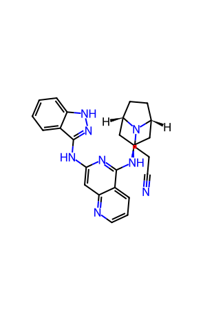 N#CCCN1[C@@H]2CC[C@H]1C[C@H](Nc1nc(Nc3n[nH]c4ccccc34)cc3ncccc13)C2